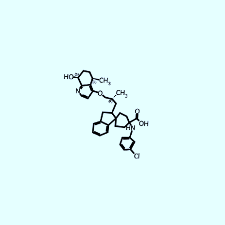 C[C@@H](COc1ccnc2c1[C@H](C)CC[C@@H]2O)CC1Cc2ccccc2C12CCC(Nc1cccc(Cl)c1)(C(=O)O)CC2